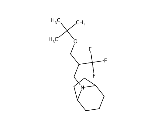 CC(C)(C)OCC(CN1C2CCCC1CC2)C(F)(F)F